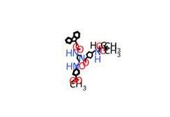 COC(=O)c1ccc(NC(=O)[C@@H]2C[C@H](NC(=O)OCC3c4ccccc4-c4ccccc43)CN2C(=O)C2CCC(CNC(=O)OC(C)(C)C)CC2)cc1